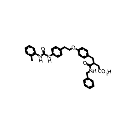 Cc1ccccc1NC(=O)Nc1ccc(CCOc2ccc(CC(CC(=O)O)C(=O)NCc3ccccc3)cc2)cc1